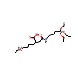 CCO[SiH2]CCCC(CC(=O)NCCC[Si](OCC)(OCC)OCC)C(=O)O